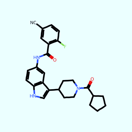 N#Cc1ccc(F)c(C(=O)Nc2ccc3[nH]cc(C4CCN(C(=O)C5CCCC5)CC4)c3c2)c1